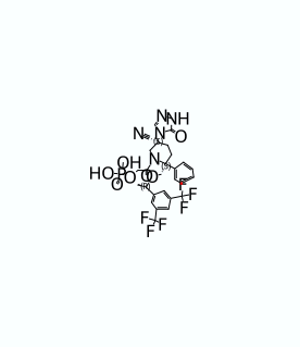 C[C@@H](OC[C@@]1(c2ccccc2)CC[C@](C#N)(n2cn[nH]c2=O)CN1C(=O)COP(=O)(O)O)c1cc(C(F)(F)F)cc(C(F)(F)F)c1